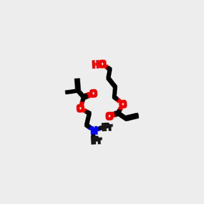 C=C(C)C(=O)OCCN(C(C)C)C(C)C.C=CC(=O)OCCCCO